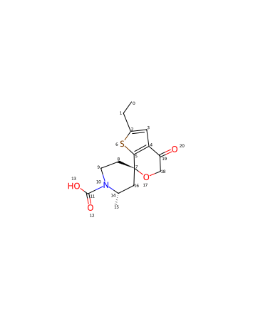 CCc1cc2c(s1)[C@]1(CCN(C(=O)O)[C@@H](C)C1)OCC2=O